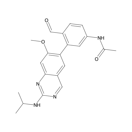 COc1cc2nc(NC(C)C)ncc2cc1-c1cc(NC(C)=O)ccc1C=O